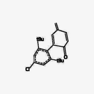 C=C1C=CC(=O)C(c2c(C(C)(C)C)cc(Cl)cc2C(C)(C)C)=C1